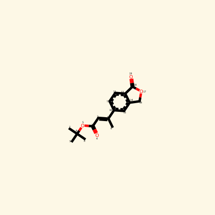 C/C(=C\C(=O)OC(C)(C)C)c1ccc2c(c1)COC2=O